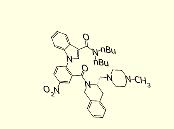 CCCCN(CCCC)C(=O)c1cn(-c2ccc([N+](=O)[O-])cc2C(=O)N2Cc3ccccc3C[C@H]2CN2CCN(C)CC2)c2ccccc12